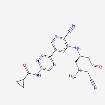 CN(CC#N)C[C@H](CC=O)Nc1cc(-c2cnc(NC(=O)C3CC3)cn2)cnc1C#N